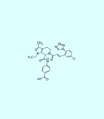 CCn1nc(C)c2c1C(C(=O)Nc1ccc(C(=O)O)cc1)N(C(=O)/C=C/c1cc(Cl)ccc1-n1cnnn1)CC2